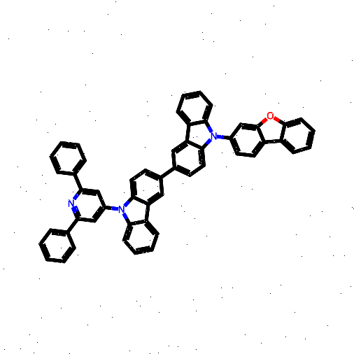 c1ccc(-c2cc(-n3c4ccccc4c4cc(-c5ccc6c(c5)c5ccccc5n6-c5ccc6c(c5)oc5ccccc56)ccc43)cc(-c3ccccc3)n2)cc1